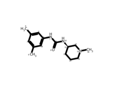 Cc1cc(C)cc(NC(=O)N[C@@H]2CCCN(C)C2)c1